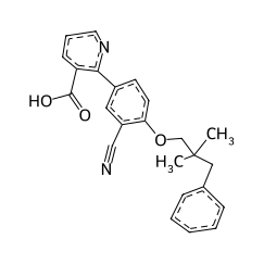 CC(C)(COc1ccc(-c2ncccc2C(=O)O)cc1C#N)Cc1ccccc1